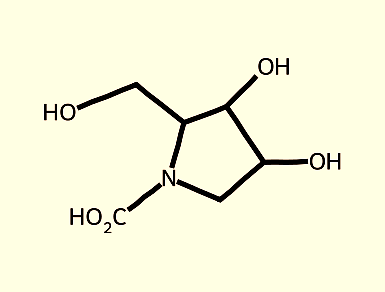 O=C(O)N1CC(O)C(O)C1CO